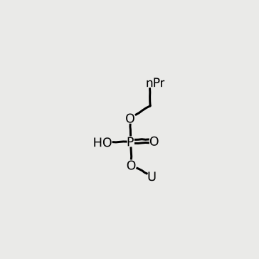 CCCCOP(=O)(O)[O][U]